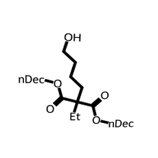 CCCCCCCCCCOC(=O)C(CC)(CCCCO)C(=O)OCCCCCCCCCC